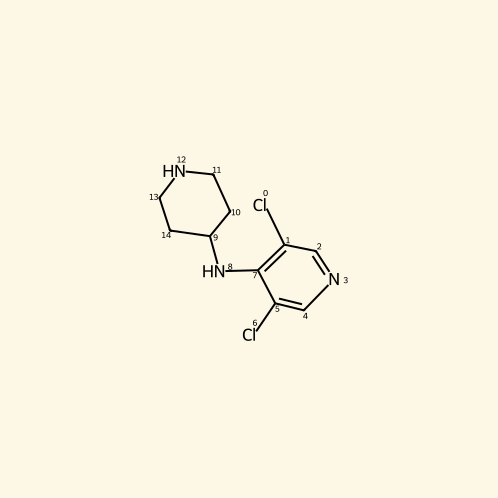 Clc1cncc(Cl)c1NC1CCNCC1